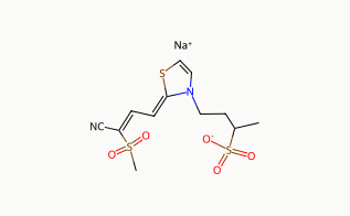 CC(CCN1C=CSC1=CC=C(C#N)S(C)(=O)=O)S(=O)(=O)[O-].[Na+]